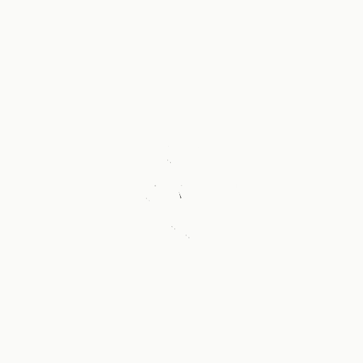 CCN(CCN(C)Nc1ccc(Cl)cc1)[C@@H]1CN(C(=O)c2ccc(Cl)cc2)C[C@H]1O